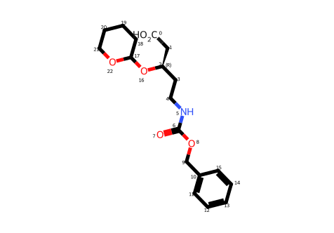 O=C(O)C[C@@H](CCNC(=O)OCc1ccccc1)OC1CCCCO1